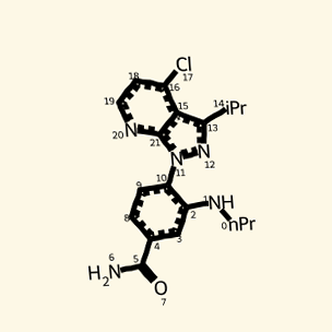 CCCNc1cc(C(N)=O)ccc1-n1nc(C(C)C)c2c(Cl)ccnc21